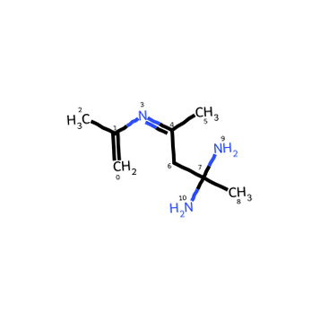 C=C(C)/N=C(/C)CC(C)(N)N